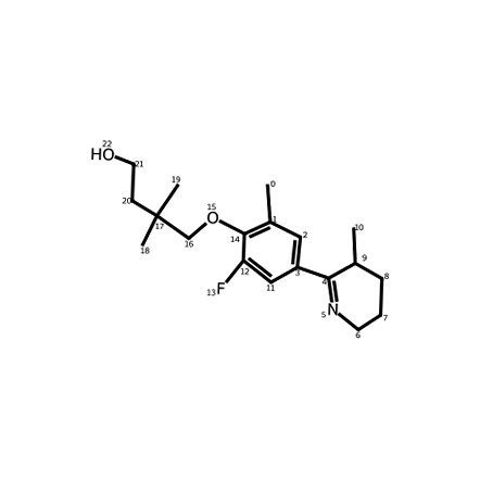 Cc1cc(C2=NCCCC2C)cc(F)c1OCC(C)(C)CCO